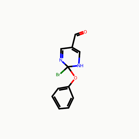 O=CC1=CNC(Br)(Oc2ccccc2)N=C1